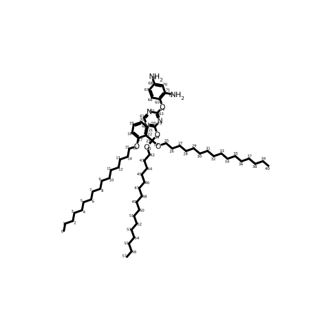 CCCCCCCCCCCCCCCCOc1ccccc1C(OCCCCCCCCCCCCCCCC)(OCCCCCCCCCCCCCCCC)Oc1ncnc(Oc2ccc(N)cc2N)n1